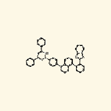 c1ccc(C2=NC(c3ccc(-c4cccc5c(-c6ccccc6-c6nc7ccccc7o6)cccc45)cc3)NC(c3ccccc3)=N2)cc1